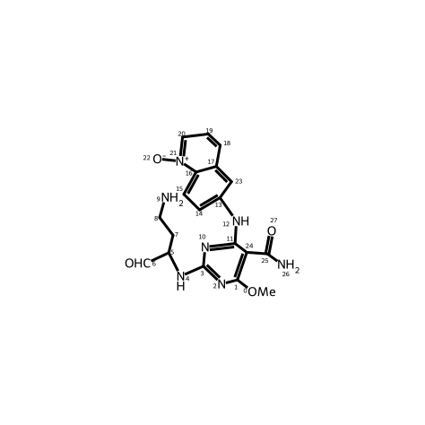 COc1nc(NC(C=O)CCN)nc(Nc2ccc3c(ccc[n+]3[O-])c2)c1C(N)=O